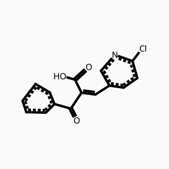 O=C(O)C(=Cc1ccc(Cl)nc1)C(=O)c1ccccc1